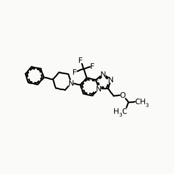 CC(C)OCc1nnc2c(C(F)(F)F)c(N3CCC(c4ccccc4)CC3)ccn12